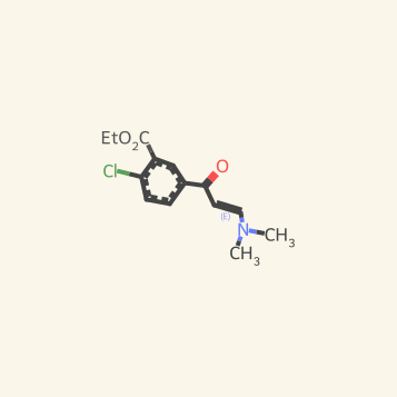 CCOC(=O)c1cc(C(=O)/C=C/N(C)C)ccc1Cl